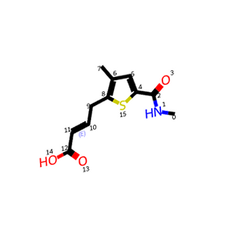 CNC(=O)c1cc(C)c(C/C=C/C(=O)O)s1